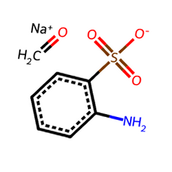 C=O.Nc1ccccc1S(=O)(=O)[O-].[Na+]